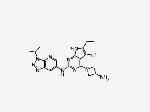 CCc1[nH]c2nc(Nc3cnc4c(c3)nnn4C(C)C)nc(N3CC(N)C3)c2c1Cl